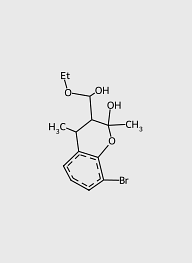 CCOC(O)C1C(C)c2cccc(Br)c2OC1(C)O